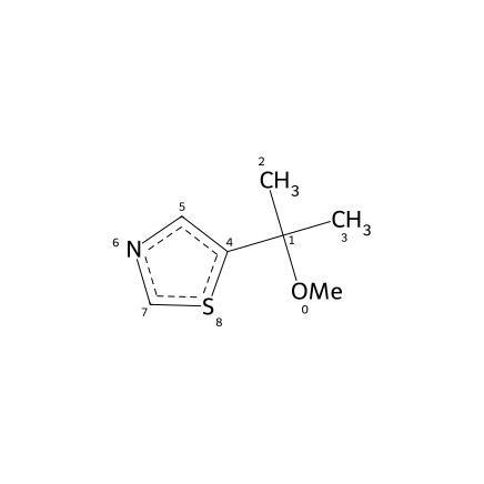 COC(C)(C)c1cncs1